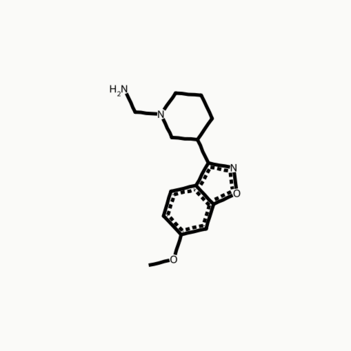 COc1ccc2c(C3CCCN(CN)C3)noc2c1